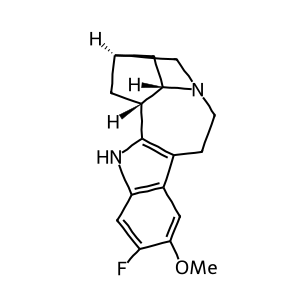 COc1cc2c3c([nH]c2cc1F)[C@@H]1C[C@H]2C[C@@H]1N(CC3)C2